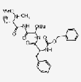 CON(C)[C@@H](CC(C)C)C(=O)NC(=O)C(NC(=O)[C@H](Cc1ccccc1)NC(=O)OCc1ccccc1)OCC(C)C